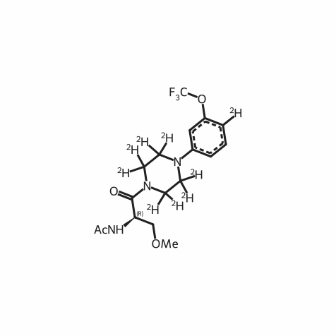 [2H]c1ccc(N2C([2H])([2H])C([2H])([2H])N(C(=O)[C@@H](COC)NC(C)=O)C([2H])([2H])C2([2H])[2H])cc1OC(F)(F)F